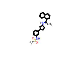 C[C@@H](NC1CCC(c2cccc(NS(C)(=O)=O)c2)C1)c1cccc2ccccc12